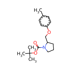 Cc1ccc(OCC2CCCN2C(=O)OC(C)(C)C)cc1